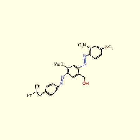 COc1cc(/N=N/c2ccc([N+](=O)[O-])cc2[N+](=O)[O-])c(CO)cc1/N=N/c1ccc(CC(C(C)C)C(C)C)cc1